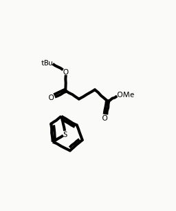 COC(=O)CCC(=O)OC(C)(C)C.c1cc2cc(c1)S2